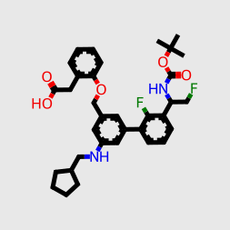 CC(C)(C)OC(=O)NC(CF)c1cccc(-c2cc(COc3ccccc3CC(=O)O)cc(NCC3CCCC3)c2)c1F